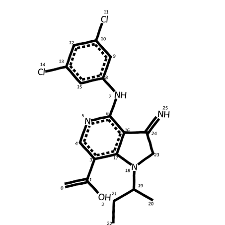 C=C(O)c1cnc(Nc2cc(Cl)cc(Cl)c2)c2c1N(C(C)CC)CC2=N